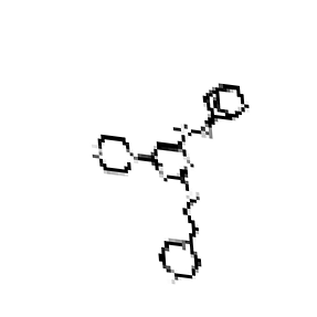 c1c(NN=C2CC3CCC2C3)nc(OCCN2CCOCC2)nc1N1CCOCC1